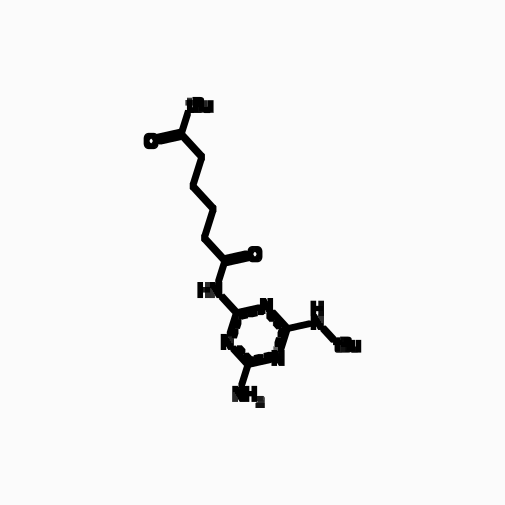 CC(C)(C)Nc1nc(N)nc(NC(=O)CCCCC(=O)C(C)(C)C)n1